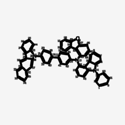 c1ccc(-n2c3ccccc3c3c(N(c4ccc(-c5ccc(-n6c7ccccc7c7cc8ccccc8cc76)cc5)cc4)c4cccc5oc6ccccc6c45)cccc32)cc1